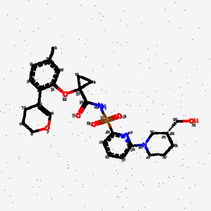 Cc1ccc(C2=COCCC2)c(OC2(C(=O)NS(=O)(=O)c3cccc(N4CCC[C@@H](CO)C4)n3)CC2)c1